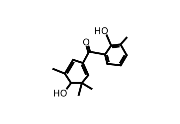 CC1=CC(C(=O)c2cccc(C)c2O)=CC(C)(C)C1O